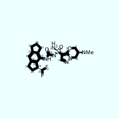 CN[C@@H]1COc2c([S@@](N)(=O)=NC(=O)Nc3c4c(cc5c3[C@H](C(F)F)CC5)CCC4)cnn2C1